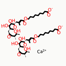 C/C(=C\C(=O)OCCCCCCCCC(=O)[O-])C[C@@H]1OC[C@H](C[C@@H]2O[C@H]2[C@@H](C)[C@H](C)O)[C@@H](O)[C@H]1O.C/C(=C\C(=O)OCCCCCCCCC(=O)[O-])C[C@@H]1OC[C@H](C[C@@H]2O[C@H]2[C@@H](C)[C@H](C)O)[C@@H](O)[C@H]1O.[Ca+2]